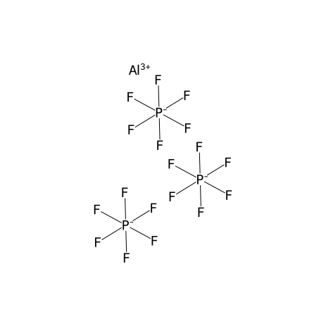 F[P-](F)(F)(F)(F)F.F[P-](F)(F)(F)(F)F.F[P-](F)(F)(F)(F)F.[Al+3]